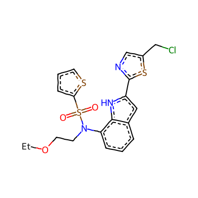 CCOCCN(c1cccc2cc(-c3ncc(CCl)s3)[nH]c12)S(=O)(=O)c1cccs1